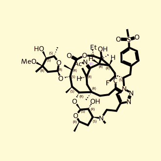 C=C1CC[C@@H]2[C@@H](C)/C(=N/C(C)=O)[C@H](C)C[C@@](C)(CC1)[C@H](O[C@@H]1O[C@H](C)C[C@H](N(C)CCc3cn([C@H](CF)Cc4ccc(S(C)(=O)=O)cc4)nn3)[C@H]1O)[C@@H](C)[C@H](O[C@H]1C[C@@](C)(OC)[C@@H](O)[C@H](C)O1)[C@@H](C)C(=O)O[C@H](CC)[C@@]2(C)O